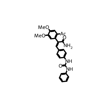 COc1cc(C(C)=O)c(C(=Cc2ccc(NC(=O)Nc3ccccc3)cc2)C(N)=O)cc1OC